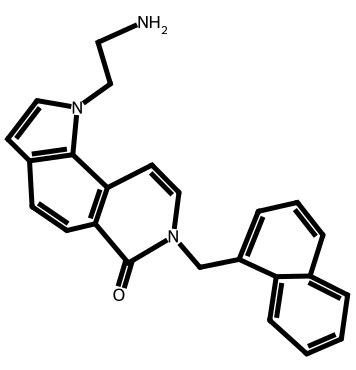 NCCn1ccc2ccc3c(=O)n(Cc4cccc5ccccc45)ccc3c21